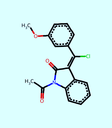 COc1cccc(/C(Cl)=C2\C(=O)N(C(C)=O)c3ccccc32)c1